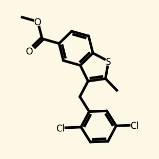 COC(=O)c1ccc2sc(C)c(Cc3cc(Cl)ccc3Cl)c2c1